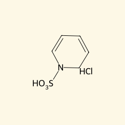 Cl.O=S(=O)(O)N1C=CC=CC1